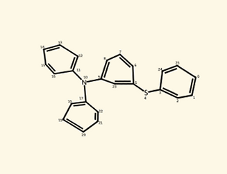 c1ccc(Sc2cccc(N(c3ccccc3)c3ccccc3)c2)cc1